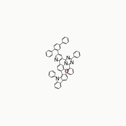 c1ccc(-c2ccc(-c3ccccc3)c(-c3cnc(-c4ccc5c(c4)oc4ccc6c7ccccc7n(-c7ccccc7)c6c45)c(-c4nc(-c5ccccc5)nc(-c5ccccc5)n4)c3)c2)cc1